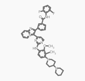 COc1c(Nc2nccc(-c3c(-c4cccc(C(=O)Nc5c(F)cccc5F)c4)nc4ccccn34)n2)ccc(N2CCC(N3CCCCC3)CC2)c1C